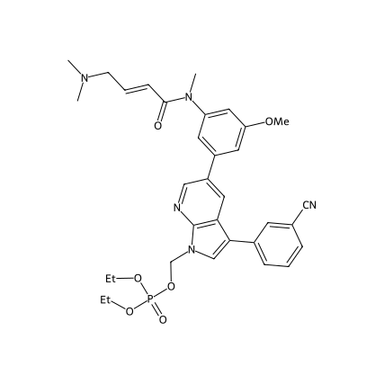 CCOP(=O)(OCC)OCn1cc(-c2cccc(C#N)c2)c2cc(-c3cc(OC)cc(N(C)C(=O)C=CCN(C)C)c3)cnc21